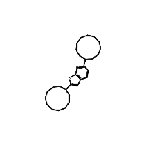 c1cc2cc(C3CCCCCCCCCC3)sc2nc1C1CCCCCCCCCC1